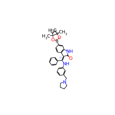 CC1(C)OB(c2ccc3c(c2)NC(=O)/C3=C(\Nc2cccc(CN3CCCC3)c2)c2ccccc2)OC1(C)C